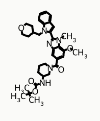 COc1cc(C(=O)N2CCCC(NC(=O)OC(C)(C)C)C2)cc2nc(-c3cc4ccccc4n3CC3CCOCC3)n(C)c12